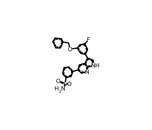 NS(=O)(=O)c1cccc(-c2cnc3[nH]cc(-c4cc(F)cc(OCc5ccccc5)c4)c3c2)c1